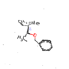 C=C/C(OC)=C(\C)OCc1ccccc1